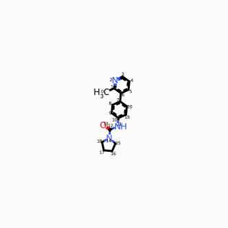 Cc1ncccc1-c1ccc(NC(=O)N2CCCC2)cc1